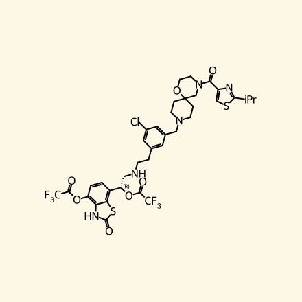 CC(C)c1nc(C(=O)N2CCOC3(CCN(Cc4cc(Cl)cc(CCNC[C@H](OC(=O)C(F)(F)F)c5ccc(OC(=O)C(F)(F)F)c6[nH]c(=O)sc56)c4)CC3)C2)cs1